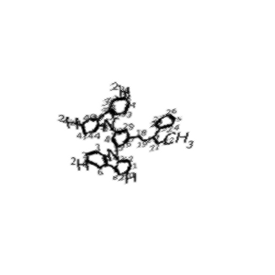 [2H]c1ccc2c(c1)c1cc([2H])ccc1n2-c1cc(CCC(CC)c2ccccc2)cc(-n2c3ccc([2H])cc3c3cc([2H])ccc32)c1